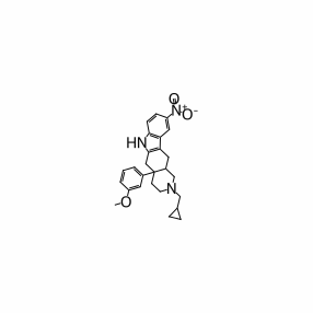 COc1cccc(C23CCN(CC4CC4)CC2Cc2c([nH]c4ccc([N+](=O)[O-])cc24)C3)c1